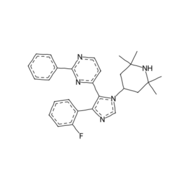 CC1(C)CC(n2cnc(-c3ccccc3F)c2-c2ccnc(-c3ccccc3)n2)CC(C)(C)N1